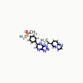 CC(c1ccc2nccn2c1)n1nnc2ncc(-c3ccc(P(C)(C)=O)cc3)nc21